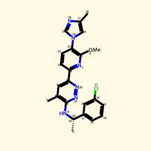 COc1nc(-c2cc(C)c(N[C@@H](C)c3cccc(Cl)c3)nn2)ccc1-n1cnc(C)c1